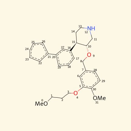 COCCCOc1cc(CO[C@H]2CNCC[C@@H]2c2cccc(-c3ccccc3)c2)ccc1OC